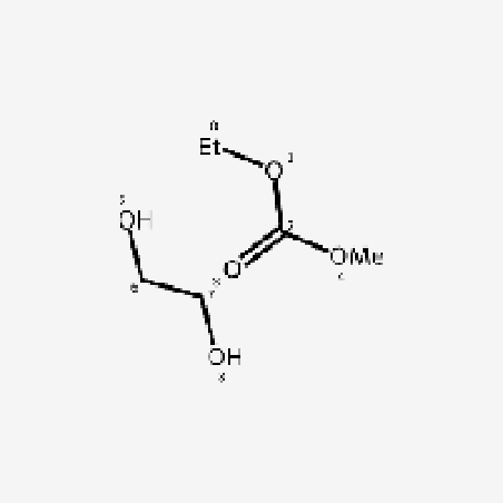 CCOC(=O)OC.OCCO